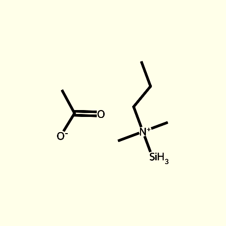 CC(=O)[O-].CCC[N+](C)(C)[SiH3]